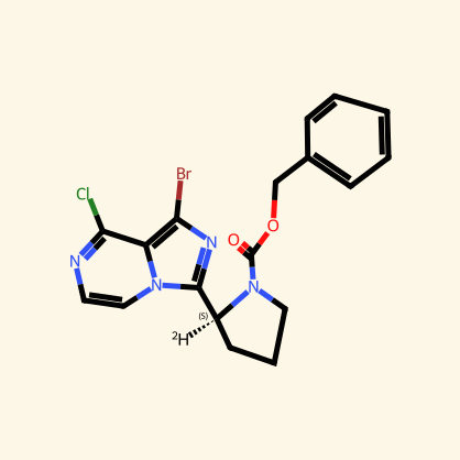 [2H][C@@]1(c2nc(Br)c3c(Cl)nccn23)CCCN1C(=O)OCc1ccccc1